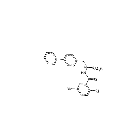 O=C(N[C@@H](Cc1ccc(-c2ccccc2)cc1)C(=O)O)c1cc(Br)ccc1Cl